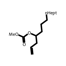 C=CCC(CCCCCCCCCC)OC(=O)OC